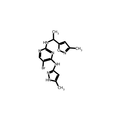 Cc1cc(C(C)Nc2ncc(Br)c(Nc3cc(C)[nH]n3)n2)on1